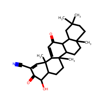 CC1(C)CCC2(C)CCC3C(C(=O)C=C4C5(C)C=C(C#N)C(=O)C(O)C5CCC43C)C2C1